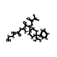 CN(C)C(=O)CN1C(=O)N(CC(=O)NCCO)C[C@]12CC[C@](c1ccccc1)(N(C)C)CC2